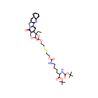 CCC1(OC(=O)OCCSSCCOC(=O)NCCCCC(NC(=O)OC(C)(C)C)C(=O)OC(C)(C)C)C(=O)OCc2c1cc1n(c2=O)Cc2cc3ccccc3nc2-1